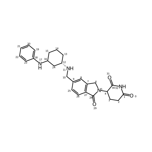 O=C1CCC(N2Cc3cc(CN[C@H]4CCCC(Nc5ccccc5)C4)ccc3C2=O)C(=O)N1